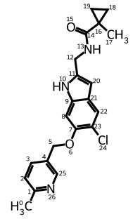 Cc1ccc(COc2cc3[nH]c(CNC(=O)C4(C)CC4)cc3cc2Cl)cn1